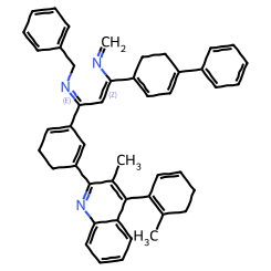 C=N/C(=C\C(=N/Cc1ccccc1)C1=CCCC(c2nc3ccccc3c(C3=C(C)CCC=C3)c2C)=C1)C1=CC=C(c2ccccc2)CC1